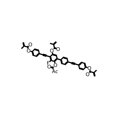 C=C(C)C(=O)Oc1ccc(C#Cc2ccc(-c3cc(OC(=O)C(=C)C)c(C#Cc4ccc(OC(=O)C(=C)C)cc4)c(F)c3OC(=O)C(C)=O)cc2)cc1